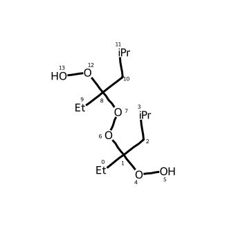 CCC(CC(C)C)(OO)OOC(CC)(CC(C)C)OO